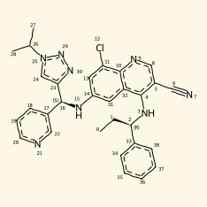 CC[C@@H](Nc1c(C#N)cnc2c(Cl)cc(N[C@@H](c3cccnc3)c3cn(C(C)C)nn3)cc12)c1ccccc1